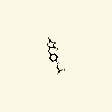 O=C(Cl)COc1ccc(CC2SC(=O)NC2=O)cc1